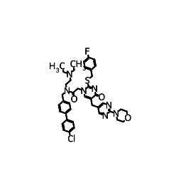 CCN(CC)CCN(Cc1ccc(-c2ccc(Cl)cc2)cc1)C(=O)Cn1cc(Cc2cnc(N3CCOCC3)nc2)c(=O)nc1SCc1ccc(F)cc1